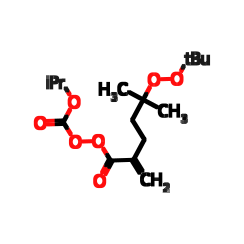 C=C(CCC(C)(C)OOC(C)(C)C)C(=O)OOC(=O)OC(C)C